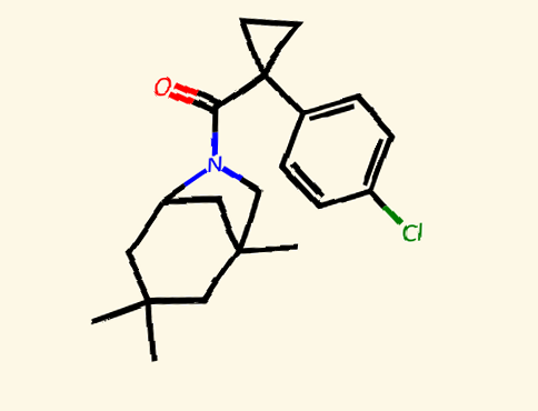 CC1(C)CC2CC(C)(CN2C(=O)C2(c3ccc(Cl)cc3)CC2)C1